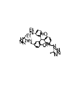 CCN(CC)c1cccc(C(c2cc(C=Nn3nnnc3C)ccc2O)c2cc(C=Nn3nnnc3C)ccc2O)c1